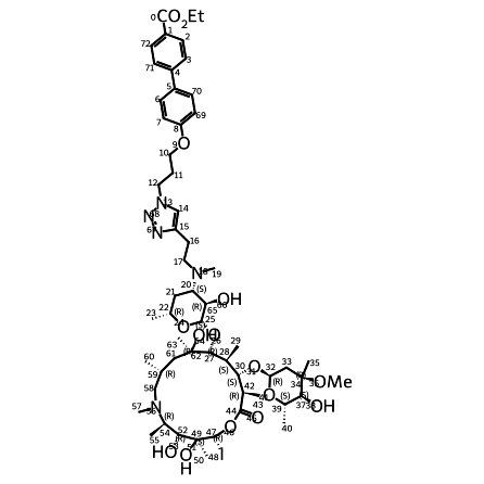 CCOC(=O)c1ccc(-c2ccc(OCCCn3cc(CCN(C)[C@H]4C[C@@H](C)O[C@@H](O[C@@H]5[C@@H](C)[C@H](O[C@H]6C[C@@](C)(OC)[C@@H](O)[C@H](C)O6)[C@@H](C)C(=O)O[C@H](I)[C@@](C)(O)[C@H](O)[C@@H](C)N(C)C[C@H](C)C[C@@]5(C)O)[C@@H]4O)nn3)cc2)cc1